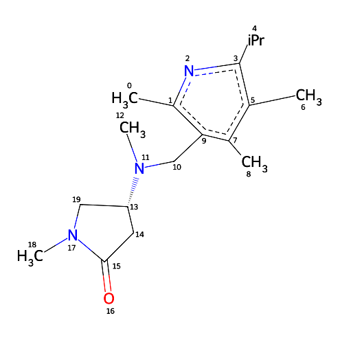 Cc1nc(C(C)C)c(C)c(C)c1CN(C)[C@@H]1CC(=O)N(C)C1